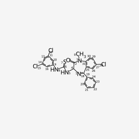 CN1C(=O)C(NC(=S)Nc2cc(Cl)cc(Cl)c2)N=C(c2ccccc2)c2cc(Cl)ccc21